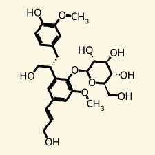 COc1cc(C[C@@H](CO)c2cc(/C=C/CO)cc(OC)c2O[C@@H]2O[C@H](CO)[C@@H](O)[C@H](O)[C@H]2O)ccc1O